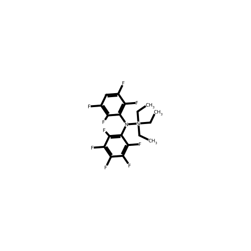 CC[Si](CC)(CC)N(c1c(F)c(F)[c]c(F)c1F)c1c(F)c(F)c(F)c(F)c1F